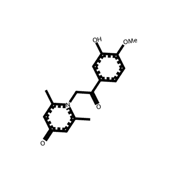 COc1ccc(C(=O)Cn2c(C)cc(=O)cc2C)cc1O